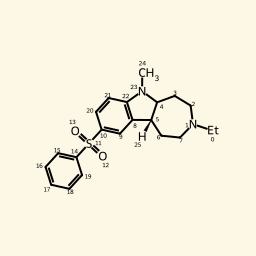 CCN1CCC2[C@H](CC1)c1cc(S(=O)(=O)c3ccccc3)ccc1N2C